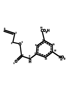 C=CCOC(=O)Nc1cc(C(=O)O)cc([N+](=O)[O-])c1